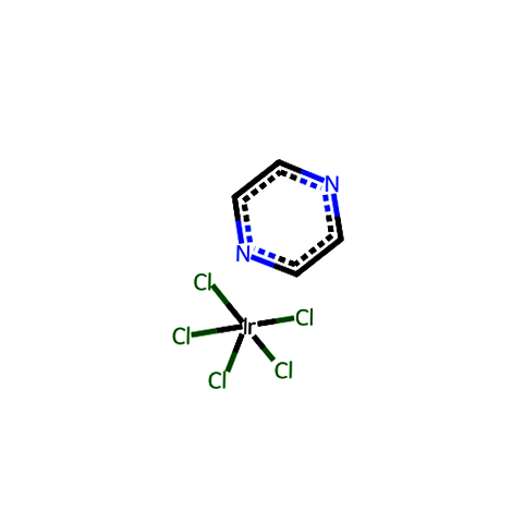 [Cl][Ir]([Cl])([Cl])([Cl])[Cl].c1cnccn1